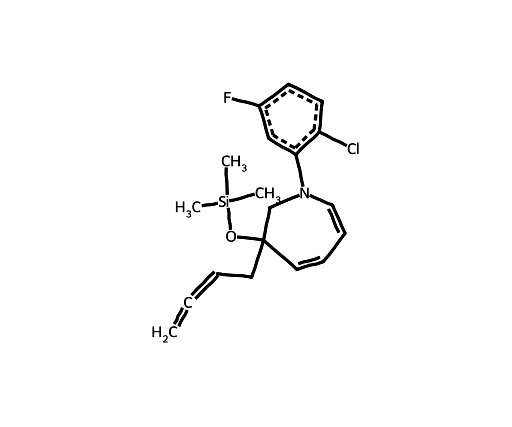 C=C=CCC1(O[Si](C)(C)C)C=CC=CN(c2cc(F)ccc2Cl)C1